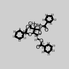 C=CC1(O)C(OC(=O)c2ccccc2)[C@@H](COC(=O)c2ccccc2)O[C@H]1OC(=O)c1ccccc1